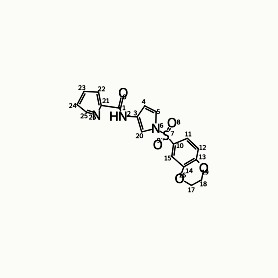 O=C(Nc1ccn(S(=O)(=O)c2ccc3c(c2)OCCO3)c1)c1ccccn1